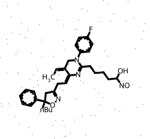 C/C=C1/CN(c2ccc(F)cc2)C(CCCCC(O)N=O)=N/C1=C/CC1=NOC(CCCC)(c2ccccc2)C1